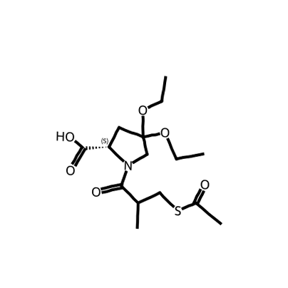 CCOC1(OCC)C[C@@H](C(=O)O)N(C(=O)C(C)CSC(C)=O)C1